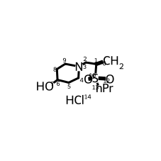 C=C(CN1CCC(O)CC1)S(=O)(=O)CCC.Cl